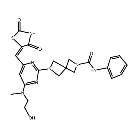 CN(CCO)c1cc(C=C2SC(=O)NC2=O)nc(N2CC3(CN(C(=O)Nc4ccccc4)C3)C2)n1